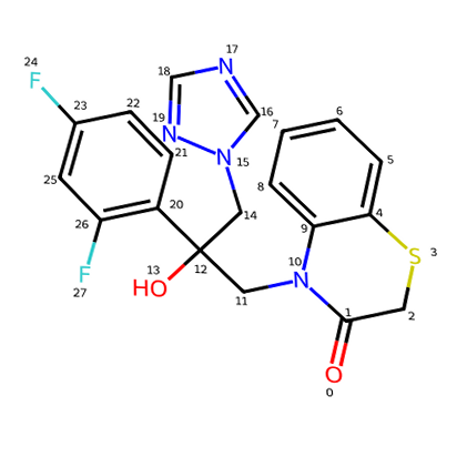 O=C1CSc2ccccc2N1CC(O)(Cn1cncn1)c1ccc(F)cc1F